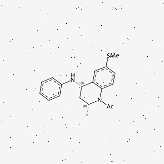 CSc1ccc2c(c1)[C@@H](Nc1ccccc1)C[C@@H](C)N2C(C)=O